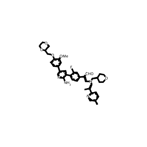 COc1cc(-c2cnc(N)c(-c3ccc(/C(C=O)=C/N(/C=C(\C)c4ccc(C)cn4)CC4CCOCC4)cc3F)c2)ccc1OCC1COCCO1